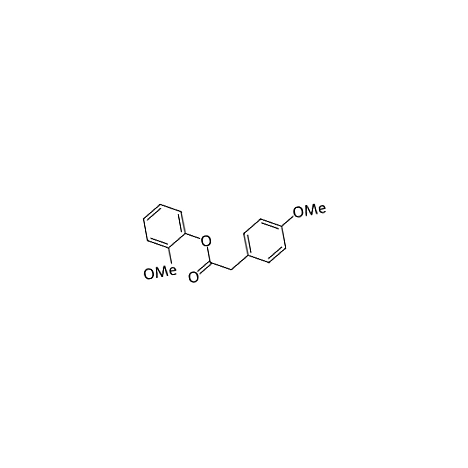 COc1ccc(CC(=O)Oc2ccccc2OC)cc1